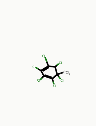 ClC1=C(Cl)C(Cl)C(Cl)(C(Cl)(Cl)Cl)C(Cl)=C1Cl